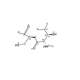 CN[C@H](C(=O)C[C@@H](CS)C(C)=O)[C@H](S)C(C)C